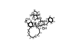 COc1ccc2c(c1)COCCCCCCCN(C[C@@H](O)[C@H](Cc1ccccc1)NC(=O)O[C@H]1CO[C@H]3OCC[C@H]31)S2(=O)=O